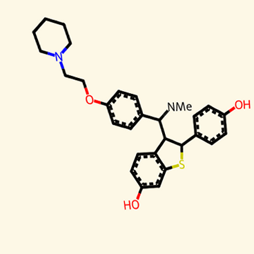 CNC(c1ccc(OCCN2CCCCC2)cc1)C1c2ccc(O)cc2SC1c1ccc(O)cc1